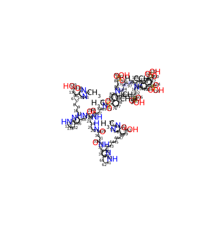 Cc1ncc([C@H](CCCCCCc2nc3c(cc2CNC(=O)[C@@H](CCCCNC(=O)CCC(=O)NCc2cc4c(nc2CCCCCC[C@@H](CC(=O)O)c2cnc(C)nc2)NCCC4)NC(=O)CCCN(C)S(=O)(=O)c2cccc4c5c(ccc24)N(CCCS(=O)(=O)O)\C(=C/C=C\C=C\C2=[N+](CCCS(=O)(=O)O)c4ccc6c(S(=O)(=O)O)cc(S(=O)(=O)O)cc6c4C2(C)C)C5(C)C)CCCN3)CC(=O)O)cn1